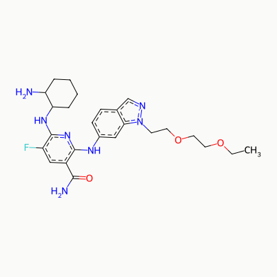 CCOCCOCCn1ncc2ccc(Nc3nc(NC4CCCCC4N)c(F)cc3C(N)=O)cc21